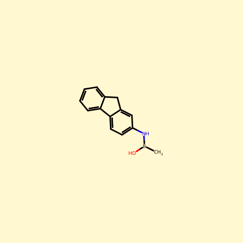 CB(O)Nc1ccc2c(c1)Cc1ccccc1-2